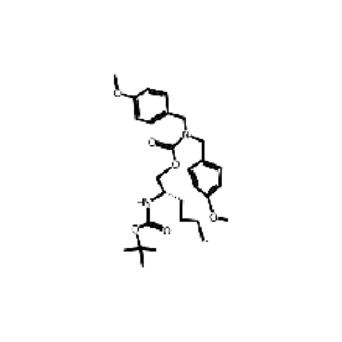 [CH2]CCC[C@@H](COC(=O)N(Cc1ccc(OC)cc1)Cc1ccc(OC)cc1)NC(=O)OC(C)(C)C